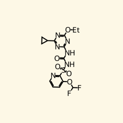 CCOc1nc(NC(=O)NS(=O)(=O)c2ncccc2OC(F)F)nc(C2CC2)n1